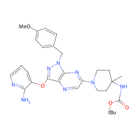 COc1ccc(Cn2nc(Oc3cccnc3N)c3ncc(N4CCC(C)(NC(=O)OC(C)(C)C)CC4)nc32)cc1